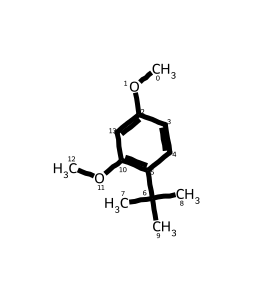 COc1ccc(C(C)(C)C)c(OC)c1